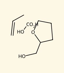 C=CC.O=C(O)O.OCC1CCCO1